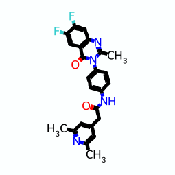 Cc1cc(CC(=O)Nc2ccc(-n3c(C)nc4cc(F)c(F)cc4c3=O)cc2)cc(C)n1